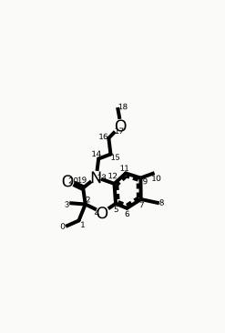 CCC1(C)Oc2cc(C)c(C)cc2N(CCCOC)C1=O